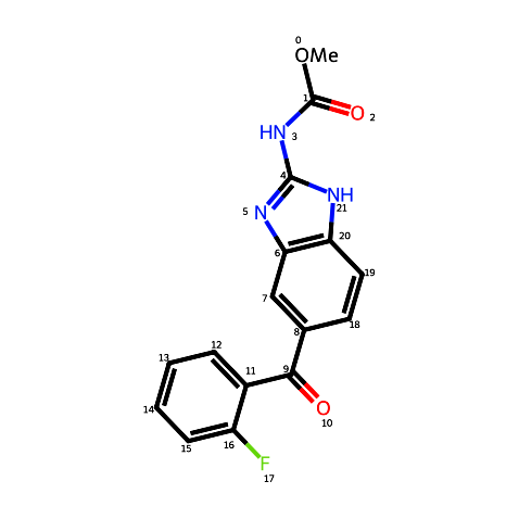 COC(=O)Nc1nc2cc(C(=O)c3ccccc3F)ccc2[nH]1